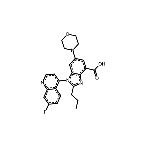 CCCc1nc2c(C(=O)O)cc(N3CCOCC3)cc2n1-c1ccnc2cc(F)ccc12